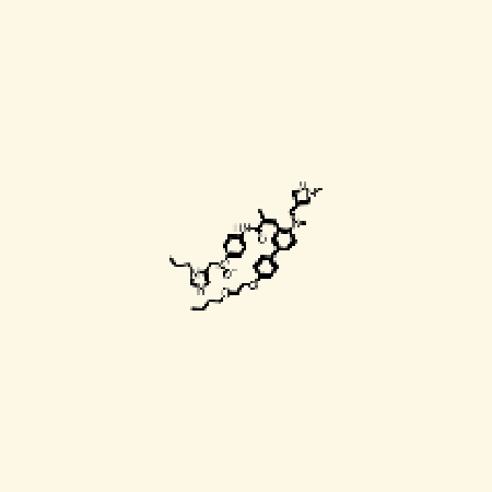 CCCCOCCOc1ccc(-c2ccc(N(C)Cc3cnn(C)c3)c(C=C(C)C(=O)Nc3ccc([S@@+]([O-])Cc4cncn4CCC)cc3)c2)cc1